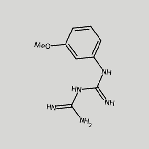 COc1cccc(NC(=N)NC(=N)N)c1